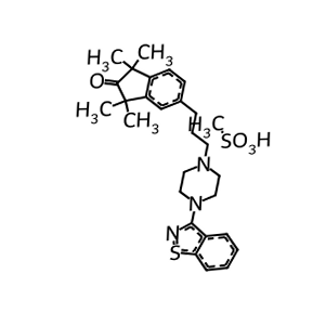 CC1(C)C(=O)C(C)(C)c2cc(CCCN3CCN(c4nsc5ccccc45)CC3)ccc21.CS(=O)(=O)O